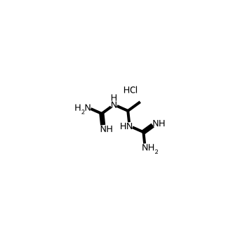 CC(NC(=N)N)NC(=N)N.Cl